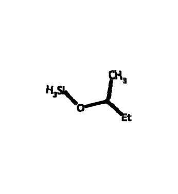 CCC(C)O[SiH3]